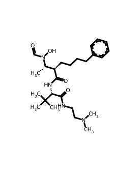 C[C@@H]([C@@H](CCCCc1ccccc1)C(=O)N[C@H](C(=O)NCCN(C)C)C(C)(C)C)N(O)C=O